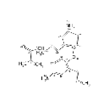 CC(C)C(=O)O.CC=Cc1cc(N)ccc1Oc1ccc(N)cc1C=CC